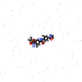 Cc1cc(-c2ncco2)ccc1NC(=O)[C@@H]1CC[C@@H](NS(=O)(=O)C(C)C)C(C)C1